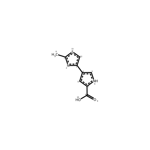 Cc1nc(-c2c[nH]c(C(=O)O)c2)cs1